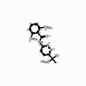 CCCCCCCCCC(C)(CC)c1ccc(NC(=O)c2c(OC)cccc2OC)nn1